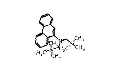 C[Si](C)(C)CN(C[Si](C)(C)C)c1cc2ccccc2c2ccccc12